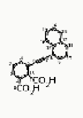 O=C(O)c1cccc(C#Cc2cccc3ccccc23)c1C(=O)O